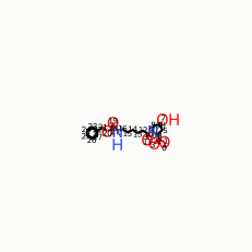 COC(=O)[C@@H]1C[C@@H](O)CN1C(=O)CCCCCNC(=O)OCc1ccccc1